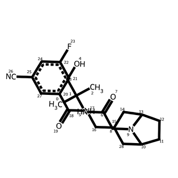 CC(C)(CO)NC(=O)CN1C2CCC1CC(CNC(=O)c1cc(F)cc(C#N)c1)C2